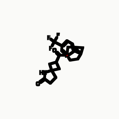 O=C1CCC2(CC(C(=O)N3CCC4(c5ccc(C(F)(F)F)cc5)CC4C3)C2)N1